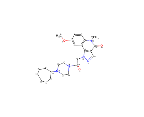 COc1ccc2c(c1)c1c(cnn1CC(=O)N1CCN(C3CCCCCC3)CC1)c(=O)n2C